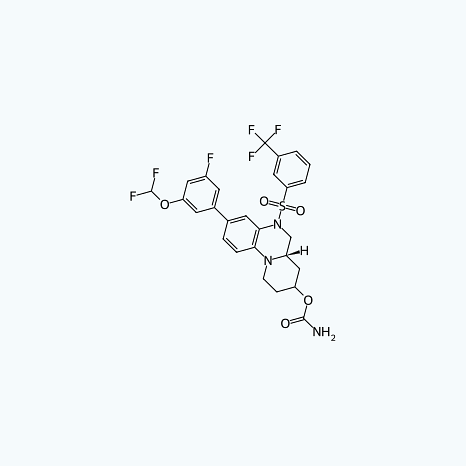 NC(=O)OC1CCN2c3ccc(-c4cc(F)cc(OC(F)F)c4)cc3N(S(=O)(=O)c3cccc(C(F)(F)F)c3)C[C@@H]2C1